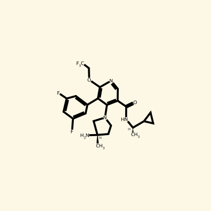 C[C@H](NC(=O)c1cnc(OCC(F)(F)F)c(-c2cc(F)cc(F)c2)c1N1CC[C@](C)(N)C1)C1CC1